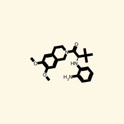 COc1cc2c(cc1OC)CN(C(=O)[C@@H](Nc1ccccc1N)C(C)(C)C)CC2